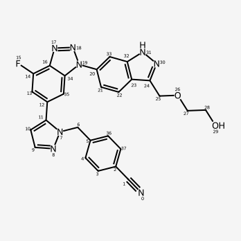 N#Cc1ccc(Cn2nccc2-c2cc(F)c3nnn(-c4ccc5c(COCCO)n[nH]c5c4)c3c2)cc1